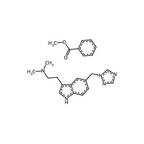 CN(C)CCc1c[nH]c2ccc(Cn3cncn3)cc12.COC(=O)c1ccccc1